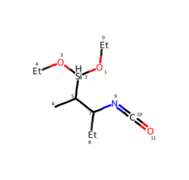 CCO[SiH](OCC)C(C)C(CC)N=C=O